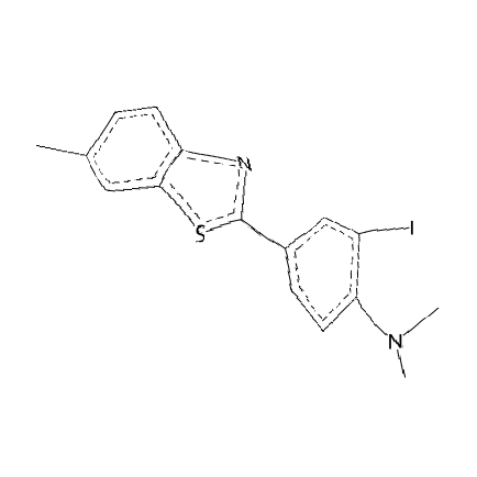 Cc1ccc2nc(-c3ccc(N(C)C)c(I)c3)sc2c1